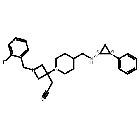 N#CCC1(N2CCC(CN[C@@H]3C[C@H]3c3ccccc3)CC2)CN(Cc2ccccc2F)C1